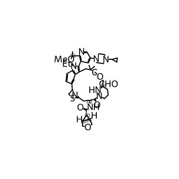 CCn1c(-c2cc(N3CCN(C4CC4)CC3)cnc2[C@H](C)OC)c2c3cc(ccc31)C1CSC(=N1)C[C@H](NC(=O)[C@H]1[C@@H]3COC[C@@H]31)C(=O)N1CCC[C@](C=O)(COCC(C)(C)C2)N1